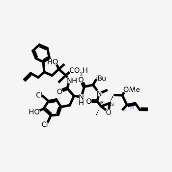 C=C/C=C(\C)C(C[C@@H]1O[C@@]1(C)C(=O)N(C)C(C(=O)NC(Cc1cc(Cl)c(O)c(Cl)c1)C(=O)NC(C)(C(=O)O)C(C)(O)CC(CC=C)c1ccccc1)C(C)CC)OC